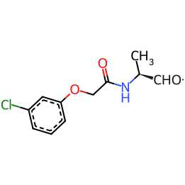 C[C@@H]([C]=O)NC(=O)COc1cccc(Cl)c1